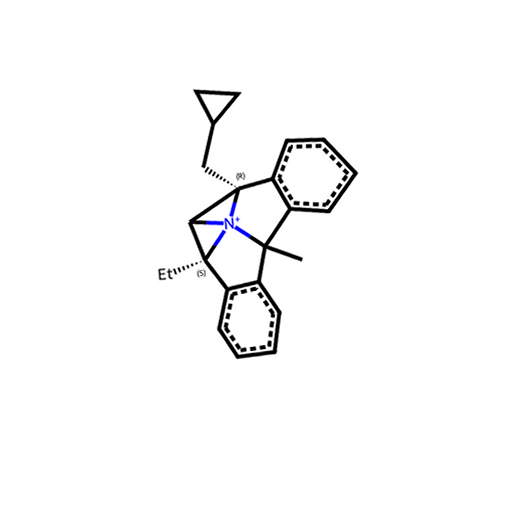 CC[C@]12c3ccccc3C3(C)c4ccccc4[C@]4(CC5CC5)C1[N+]324